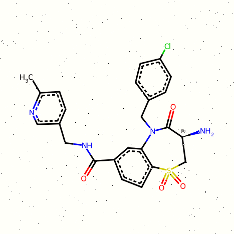 Cc1ccc(CNC(=O)c2ccc3c(c2)N(Cc2ccc(Cl)cc2)C(=O)[C@@H](N)CS3(=O)=O)cn1